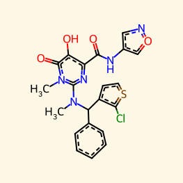 CN(c1nc(C(=O)Nc2cnoc2)c(O)c(=O)n1C)C(c1ccccc1)c1ccsc1Cl